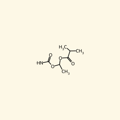 CC(OC([NH])=O)OC(=O)C(C)C